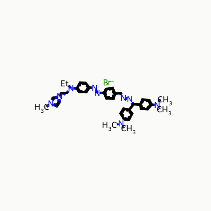 CCN(CC[n+]1ccn(C)c1)c1ccc(/N=N/c2ccc(/C=N/N=C(c3ccc(N(C)C)cc3)c3ccc(N(C)C)cc3)cc2)cc1.[Br-]